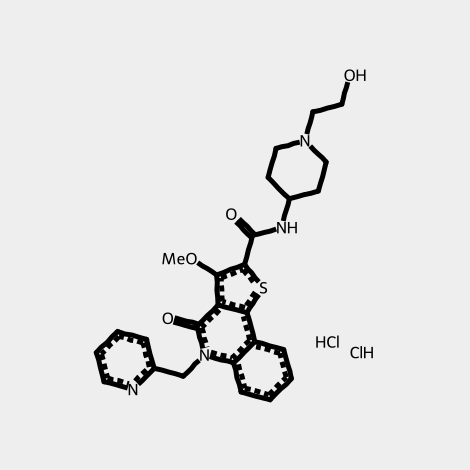 COc1c(C(=O)NC2CCN(CCO)CC2)sc2c1c(=O)n(Cc1ccccn1)c1ccccc21.Cl.Cl